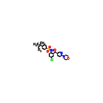 CC(C)(C)c1ccc(S(=O)(=O)Nc2ccc(Cl)cc2C(=O)c2ccc(N3CCOCC3)nc2)cc1